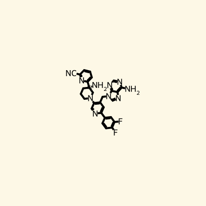 N#Cc1cccc([C@]2(N)CCCN(c3cnc(-c4ccc(F)c(F)c4)cc3Cn3cnc4c(N)ncnc43)C2)n1